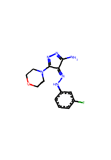 NC1=NN=C(N2CCOCC2)/C1=N\Nc1cccc(F)c1